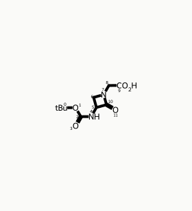 CC(C)(C)OC(=O)NC1CN(CC(=O)O)C1=O